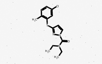 CCN(CC)C(=O)n1ccc(Sc2cc(Cl)ccc2C)n1